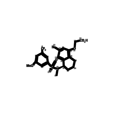 COc1cc(C(F)(F)F)cc(S(=O)(=O)N(C)[C@@H]2CCCc3c(OCC(=O)O)cc(Br)cc32)c1